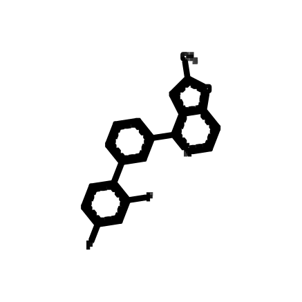 Cc1cc2c(-c3cccc(-c4ccc(F)cc4F)c3)nccc2o1